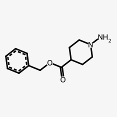 NN1CCC(C(=O)OCc2ccccc2)CC1